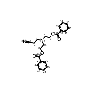 N#CCCN(CCOC(=O)c1ccccc1)CCOC(=O)c1ccccc1